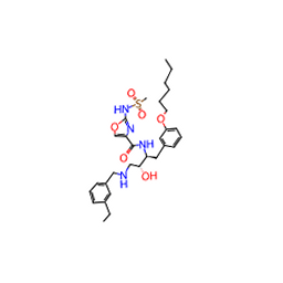 CCCCCCOc1cccc(C[C@H](NC(=O)c2coc(NS(C)(=O)=O)n2)[C@H](O)CNCc2cccc(CC)c2)c1